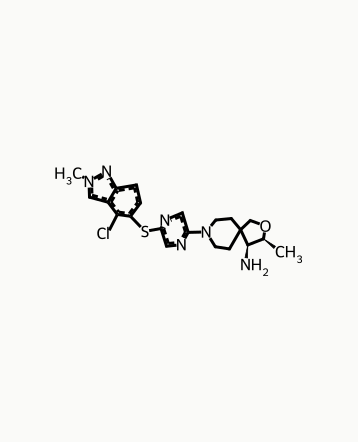 C[C@@H]1OCC2(CCN(c3cnc(Sc4ccc5nn(C)cc5c4Cl)cn3)CC2)[C@@H]1N